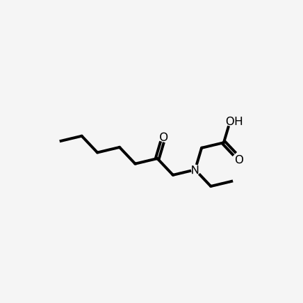 CCCCCC(=O)CN(CC)CC(=O)O